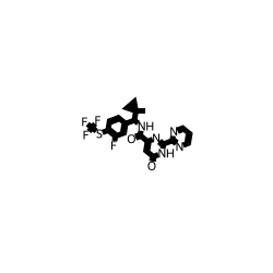 CC1(C(NC(=O)c2cc(=O)[nH]c(-c3ncccn3)n2)c2ccc(SC(F)(F)F)c(F)c2)CC1